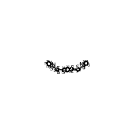 c1ccc2sc(-c3ccc(-c4cc5cc6sc(-c7ccc(-c8nc9ccccc9s8)s7)cc6cc5s4)s3)nc2c1